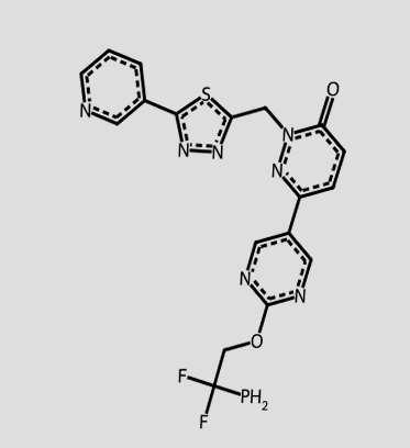 O=c1ccc(-c2cnc(OCC(F)(F)P)nc2)nn1Cc1nnc(-c2cccnc2)s1